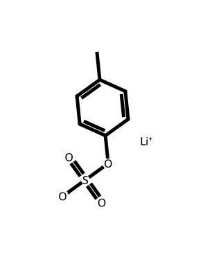 Cc1ccc(OS(=O)(=O)[O-])cc1.[Li+]